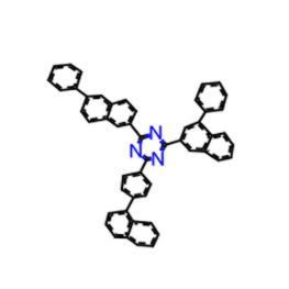 c1ccc(-c2ccc3cc(-c4nc(-c5ccc(-c6cccc7ccccc67)cc5)nc(-c5cc(-c6ccccc6)c6ccccc6c5)n4)ccc3c2)cc1